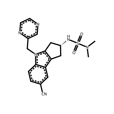 CN(C)S(=O)(=O)N[C@@H]1Cc2c(n(Cc3cnccn3)c3ccc(C#N)cc23)C1